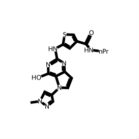 CCCNC(=O)c1csc(Nc2nc(O)c3c(ccn3-c3cnn(C)c3)n2)c1